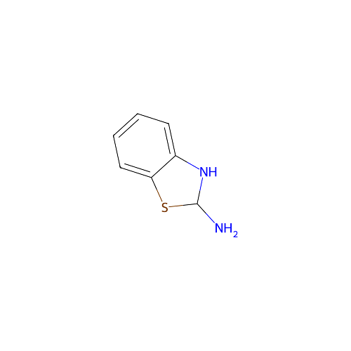 NC1Nc2ccccc2S1